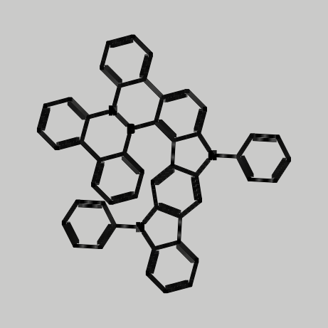 c1ccc(-n2c3ccccc3c3cc4c(cc32)c2c3c(ccc2n4-c2ccccc2)-c2ccccc2N2B3c3ccccc3-c3ccccc32)cc1